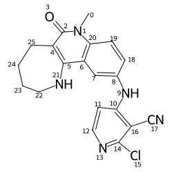 Cn1c(=O)c2c(c3cc(Nc4ccnc(Cl)c4C#N)ccc31)NCCCC2